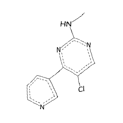 CNc1ncc(Cl)c(-c2cccnc2)n1